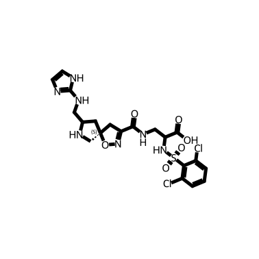 O=C(NCC(NS(=O)(=O)c1c(Cl)cccc1Cl)C(=O)O)C1=NO[C@]2(CNC(CNc3ncc[nH]3)C2)C1